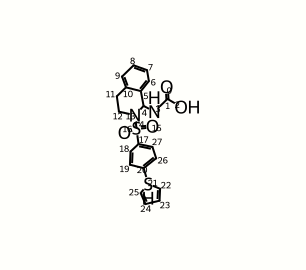 O=C(O)NC1c2ccccc2CCN1S(=O)(=O)c1ccc([SH]2C=CC=C2)cc1